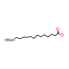 CCCCCCCCCCCCCCCCCCCCCC([O])=O